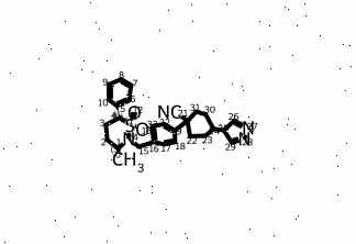 C[C@H]1CC[C@H](c2ccccc2)S(=O)(=O)N1Cc1ccc(C2(C#N)CCC(C3C=NN=C3)CC2)cc1